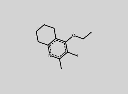 CCOc1c(I)c(C)nc2c1CCCC2